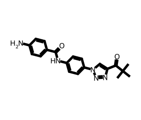 CC(C)(C)C(=O)c1cn(-c2ccc(NC(=O)c3ccc(N)cc3)cc2)nn1